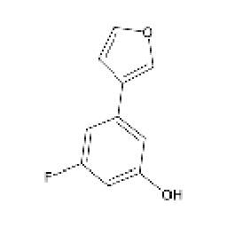 Oc1cc(F)cc(-c2ccoc2)c1